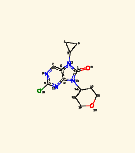 O=c1n(C2CC2)c2cnc(Cl)nc2n1C1CCOCC1